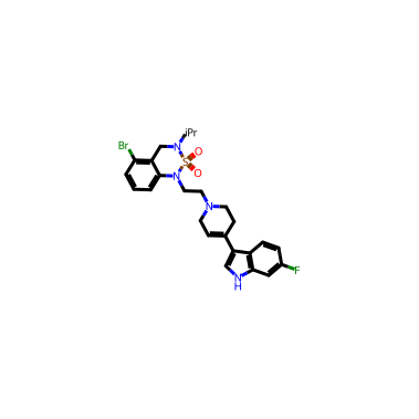 CC(C)N1Cc2c(Br)cccc2N(CCN2CC=C(c3c[nH]c4cc(F)ccc34)CC2)S1(=O)=O